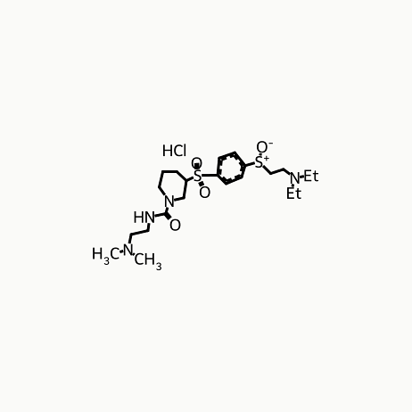 CCN(CC)CC[S+]([O-])c1ccc(S(=O)(=O)C2CCCN(C(=O)NCCN(C)C)C2)cc1.Cl